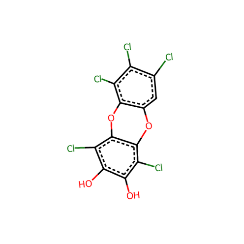 Oc1c(O)c(Cl)c2c(c1Cl)Oc1cc(Cl)c(Cl)c(Cl)c1O2